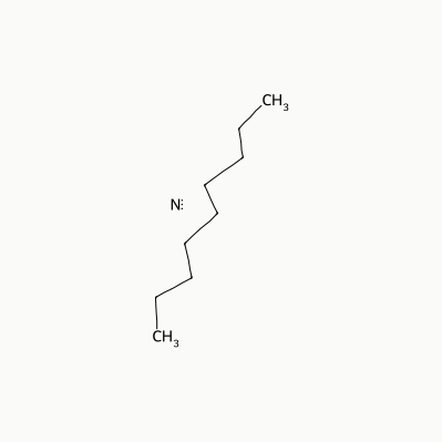 CCCCCCCCC.[N]